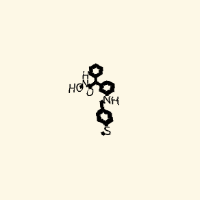 CSc1ccc(CNc2cccc(C(C(=O)NO)c3ccccc3)c2)cc1